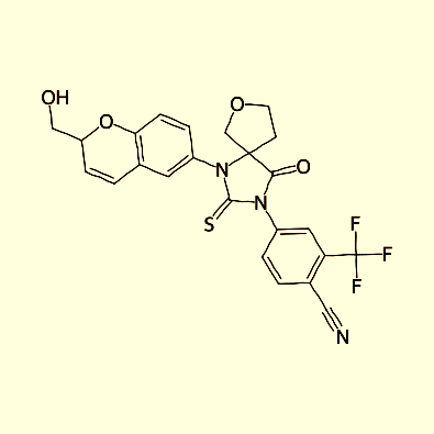 N#Cc1ccc(N2C(=O)C3(CCOC3)N(c3ccc4c(c3)C=CC(CO)O4)C2=S)cc1C(F)(F)F